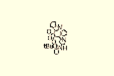 Cn1cc(C2=C(c3c4n(c5ccccc35)CCC(NC(=O)OC(C)(C)C)C4)C(=O)OC2=O)c2ccccc21